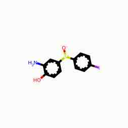 Nc1cc([S+]([O-])c2ccc(I)cc2)ccc1O